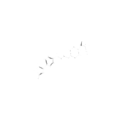 Cc1nc(-c2ccc(OCCCN3CCN(C(=O)[C@H](C)N)CC3)cc2)no1